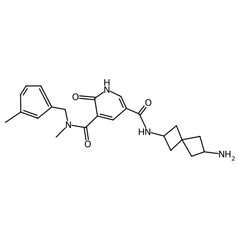 Cc1cccc(CN(C)C(=O)c2cc(C(=O)NC3CC4(CC(N)C4)C3)c[nH]c2=O)c1